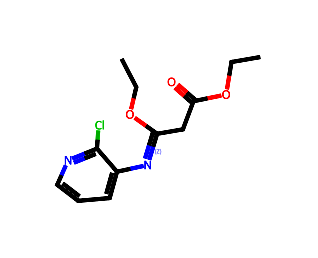 CCOC(=O)C/C(=N/c1cccnc1Cl)OCC